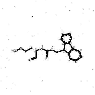 CSCC[C@@H](C=O)NC(=O)OCC1c2ccccc2-c2ccccc21